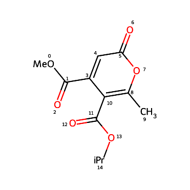 COC(=O)c1cc(=O)oc(C)c1C(=O)OC(C)C